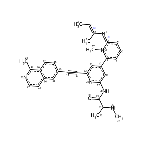 C/C=C(C)/N=c1/cccc(-c2cc(C#Cc3ccc4c(C)nccc4c3)nc(NC(=O)C(C)NC)c2)n1C